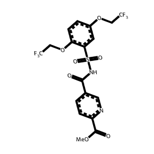 COC(=O)c1ccc(C(=O)NS(=O)(=O)c2cc(OCC(F)(F)F)ccc2OCC(F)(F)F)cn1